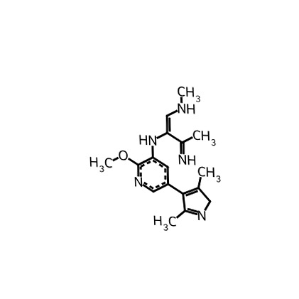 CN/C=C(/Nc1cc(C2=C(C)CN=C2C)cnc1OC)C(C)=N